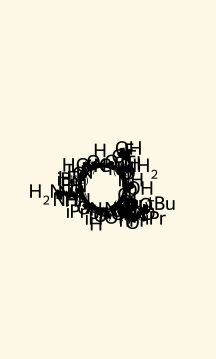 CCC[C@H](NC(=O)[C@@H](CC(C)C)NC(=O)OC(C)(C)C)C(=O)N[C@@H]1C(=O)N[C@@H]([C@H](O)C(C)C)C(=O)N[C@@H](CC(C)C)C(=O)N[C@H](CCCNC(=N)N)C(=O)N[C@@H]([C@@H](C)CC)C(=O)N[C@@H]([C@H](C)O)C(=O)NCC(=O)N[C@@H]([C@H](O)C(N)=O)C(=O)N[C@@H](CO)C(=O)O[C@@H]1c1ccccc1.O=C(O)C(F)(F)F